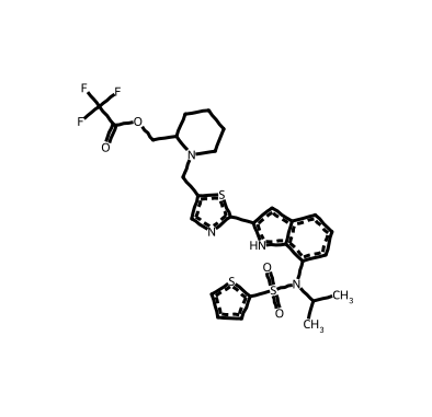 CC(C)N(c1cccc2cc(-c3ncc(CN4CCCCC4COC(=O)C(F)(F)F)s3)[nH]c12)S(=O)(=O)c1cccs1